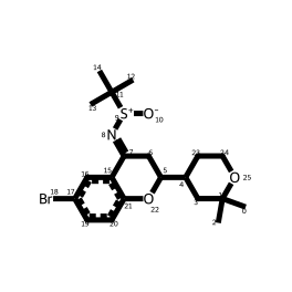 CC1(C)CC(C2CC(=N[S+]([O-])C(C)(C)C)c3cc(Br)ccc3O2)CCO1